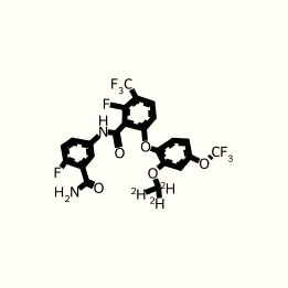 [2H]C([2H])([2H])Oc1cc(OC(F)(F)F)ccc1Oc1ccc(C(F)(F)F)c(F)c1C(=O)Nc1ccc(F)c(C(N)=O)c1